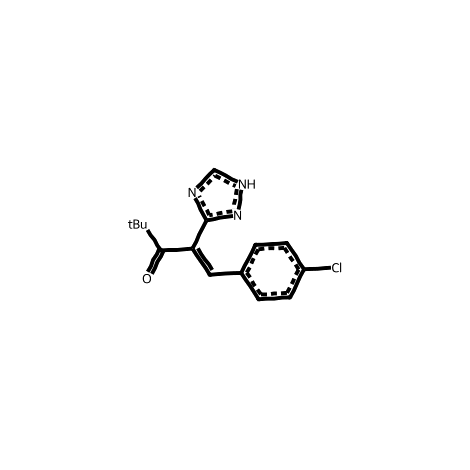 CC(C)(C)C(=O)C(=Cc1ccc(Cl)cc1)c1nc[nH]n1